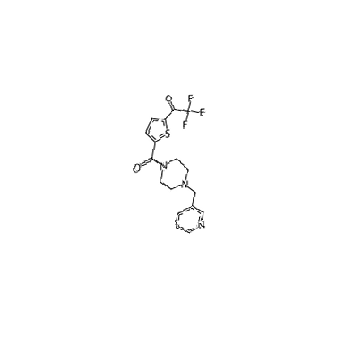 O=C(c1ccc(C(=O)C(F)(F)F)s1)N1CCN(Cc2cccnc2)CC1